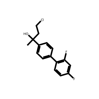 CC(O)(CCCl)c1ccc(-c2ccc(F)cc2F)cc1